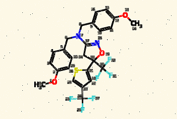 COc1ccc(CN(Cc2ccc(OC)cc2)C2=NOC(c3cc(C(F)(F)F)cs3)(C(F)(F)F)C2)cc1